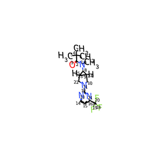 CN(C(=O)C(C)(C)C)[C@H]1[C@@H]2CN(c3nccc(C(F)(F)F)n3)C[C@@H]21